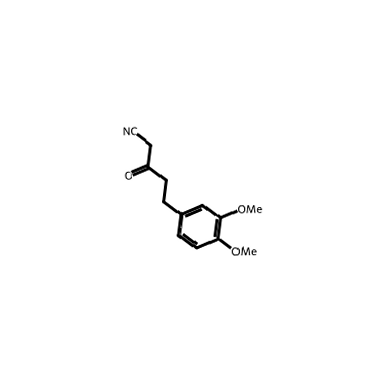 COc1ccc(CCC(=O)CC#N)cc1OC